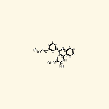 CCOCOc1cccc(-c2cc(NC(=N)NC=O)c3ccccc3n2)c1